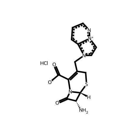 Cl.N[C@@H]1C(=O)N2C(C(=O)[O-])=C(Cn3cc[n+]4ncccc34)CS[C@H]12